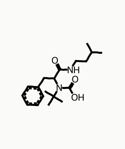 CC(C)CCNC(=O)C(Cc1ccccc1)N(C(=O)O)C(C)(C)C